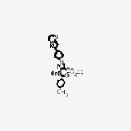 CCOC(=O)c1cn(-c2ccc(-c3cc4ncccn4n3)cc2)nc1N(C(=O)[C@H]1CC[C@H](C)CC1)C(C)C